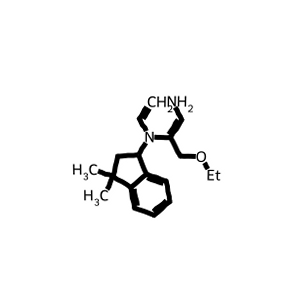 C=CN(/C(=C\N)COCC)C1CC(C)(C)c2ccccc21